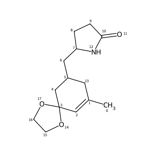 CC1=CC2(CC(CC3CCC(=O)N3)C1)OCCO2